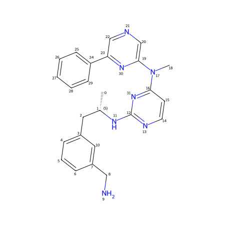 C[C@@H](Cc1cccc(CN)c1)Nc1nccc(N(C)c2cncc(-c3ccccc3)n2)n1